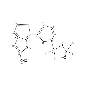 CC1(C)OC[C@@](C)(c2ccnc(-c3cccc4cc(C=O)sc34)c2)O1